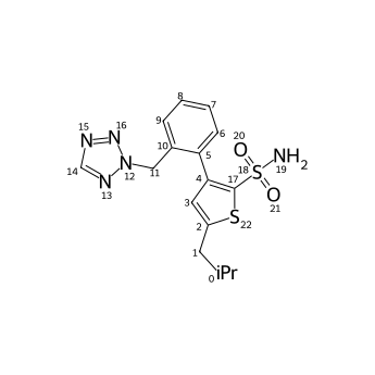 CC(C)Cc1cc(-c2ccccc2Cn2ncnn2)c(S(N)(=O)=O)s1